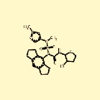 CN(c1cnn(C)c1)S(=O)(=O)N(C(=O)NC1OCCC1O)c1c2c(cc3c1CCC3)CCC2